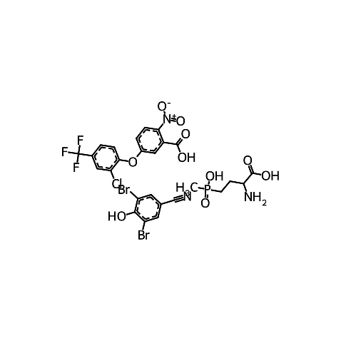 CP(=O)(O)CCC(N)C(=O)O.N#Cc1cc(Br)c(O)c(Br)c1.O=C(O)c1cc(Oc2ccc(C(F)(F)F)cc2Cl)ccc1[N+](=O)[O-]